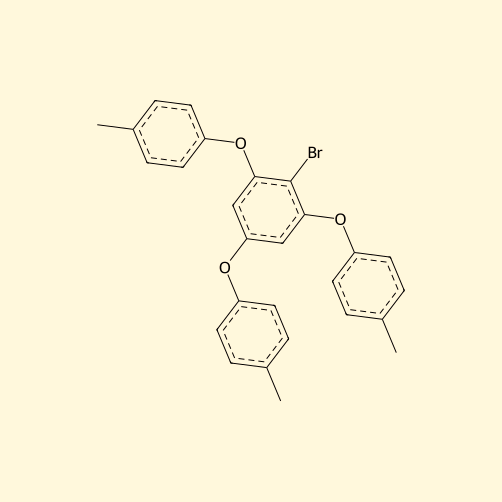 Cc1ccc(Oc2cc(Oc3ccc(C)cc3)c(Br)c(Oc3ccc(C)cc3)c2)cc1